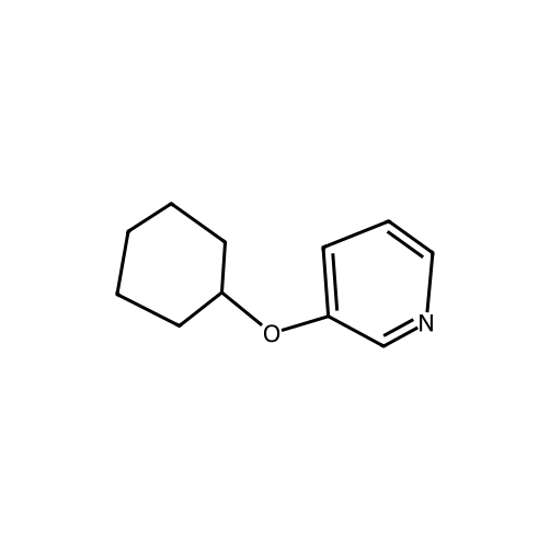 c1cncc(OC2CCCCC2)c1